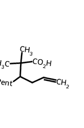 C=CCC(CCCCC)C(C)(C)C(=O)O